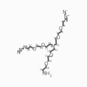 [N-]=[N+]=NCCOCCOCCN(CCOCCOCCN)CCOCCOCCN=[N+]=[N-]